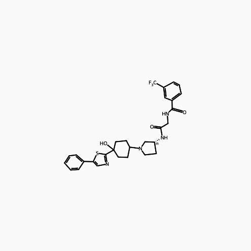 O=C(CNC(=O)c1cccc(C(F)(F)F)c1)N[C@@H]1CCN(C2CCC(O)(c3ncc(-c4ccccc4)s3)CC2)C1